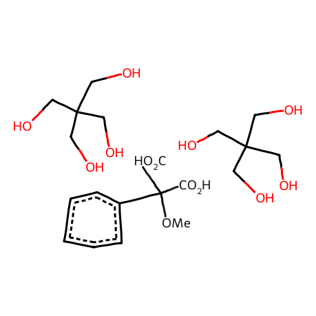 COC(C(=O)O)(C(=O)O)c1ccccc1.OCC(CO)(CO)CO.OCC(CO)(CO)CO